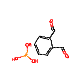 O=Cc1ccccc1C=O.OP(O)O